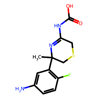 CC1(c2cc(N)ccc2F)CSCC(NC(=O)O)=N1